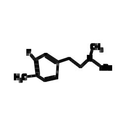 CCCCN(C)CCc1ccc(C)c(F)c1